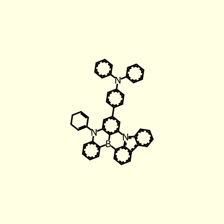 C1=CC(N2c3ccccc3B3c4c2cc(-c2ccc(N(c5ccccc5)c5ccccc5)cc2)cc4-n2c4ccccc4c4cccc3c42)=CCC1